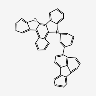 c1cc(-c2ccc3c4c(cccc24)-c2ccccc2-3)cc(-n2c3ccccc3c3c4oc5ccccc5c4c4ccccc4c32)c1